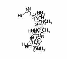 C#CCCC1(CCC(=O)O[C@H]2C[C@@H](O[C@@H]3C[C@](O)([C@@H](C)[C@H](O)[C@H](C)[C@H]4OC(=O)/C(OC)=C/C(C)=C/[C@@H](C)[C@@H](O)[C@@H](CC)[C@@H](O)[C@H](C)C/C(C)=C/C=C/[C@@H]4OC)O[C@H](/C=C/C)[C@H]3C)O[C@@H](C)[C@@H]2OC(N)=O)N=N1